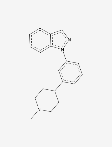 CN1CCC(c2cccc(-n3ncc4ccccc43)c2)CC1